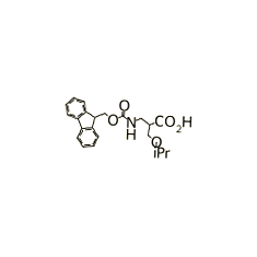 CC(C)OCC(CNC(=O)OCC1c2ccccc2-c2ccccc21)C(=O)O